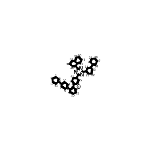 c1ccc(-c2ccc(-c3cccc4oc5cc(-c6nc(-c7cccc(-c8ccccc8)c7)nc(-c7cccc8ccccc78)n6)ccc5c34)cc2)cc1